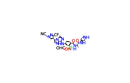 CC(NC(=O)c1ccc(Nc2nccn3c(-c4cn(CC#N)nc4C(F)(F)F)cnc23)cc1Cl)C(=O)N[C@H]1CCNC1.O=CO